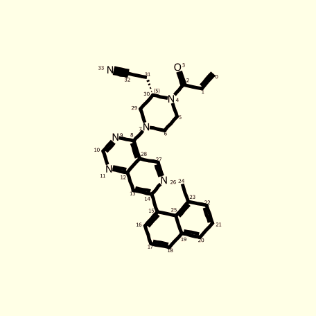 C=CC(=O)N1CCN(c2ncnc3cc(-c4cccc5cccc(C)c45)ncc23)C[C@@H]1CC#N